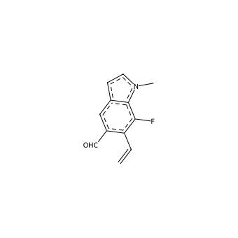 C=Cc1c(C=O)cc2ccn(C)c2c1F